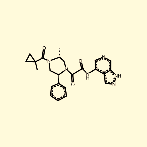 C[C@@H]1CN(C(=O)C(=O)Nc2cncc3[nH]ncc23)[C@@H](c2ccccc2)CN1C(=O)C1(C)CC1